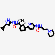 CC(C(=O)Nc1cc(C2CC2)[nH]n1)c1cccc(-c2ccc(NC(=O)C=CCN3CCCCC3)cn2)c1